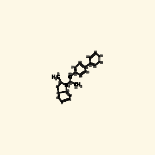 CC1Cc2ccccc2N1C(C)Oc1ccc(-c2ccccc2)cc1